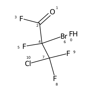 F.O=C(F)C(F)(Br)C(F)(F)Cl